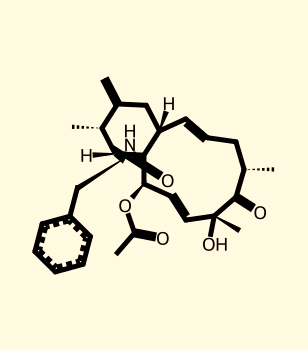 C=C1C[C@@H]2/C=C/C[C@H](C)C(=O)[C@](C)(O)/C=C/[C@@H](OC(C)=O)C23C(=O)N[C@@H](Cc2ccccc2)[C@@H]3[C@@H]1C